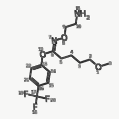 COCCCC/C(=N\OCCN)Oc1ccc(C(F)(F)F)cc1